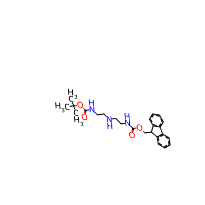 CC(C)(C)OC(=O)NCCNCCNC(=O)OCC1c2ccccc2-c2ccccc21